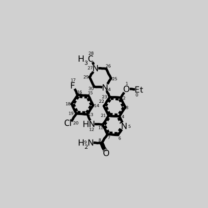 CCOc1cc2ncc(C(N)=O)c(Nc3ccc(F)cc3Cl)c2cc1N1CCN(C)CC1